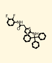 O=C(Cc1cnc(NC(c2ccccc2)(c2ccccc2)c2ccccc2)s1)Nc1cccc(F)c1F